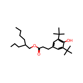 CCCCC(CCC)COC(=O)CCc1cc(C(C)(C)C)c(O)c(C(C)(C)C)c1